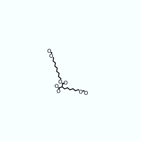 [O]C(=O)C(CCCCCCOC=O)C(=O)OCCCCCCCCCOC=O